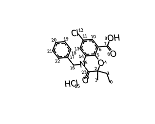 CCC1(C)Oc2c(C(=O)O)cc(Cl)cc2N(Cc2ccccc2)C1=O.Cl